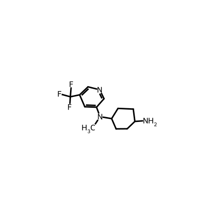 CN(c1cncc(C(F)(F)F)c1)C1CCC(N)CC1